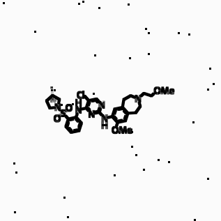 COCCN1CCc2cc(Nc3ncc(Cl)c(Nc4ccccc4S(=O)(=O)N4CC[C@H](C)C4)n3)c(OC)cc2CC1